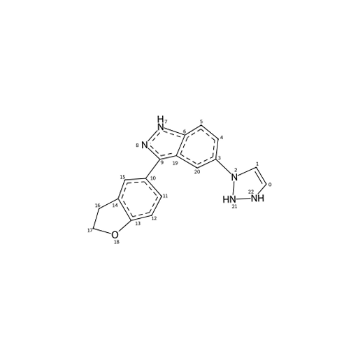 C1=CN(c2ccc3[nH]nc(-c4ccc5c(c4)CCO5)c3c2)NN1